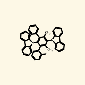 Cc1c(-c2ccccc2F)c(-n2c3ccccc3c3ccccc32)c(-c2ccccc2F)c(C)c1-n1c2ccccc2c2ccccc21